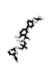 CC(C)(COc1nccc(C#N)n1)CN(N)C(=O)c1cc(-c2ccc(OC(F)(F)F)cc2)ccc1N